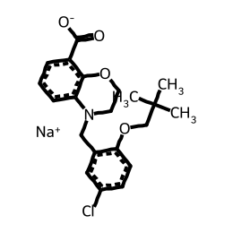 CC(C)(C)COc1ccc(Cl)cc1CN1CCOc2c(C(=O)[O-])cccc21.[Na+]